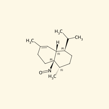 CC1=C[C@@H]2[C@@H](C(C)C)CC[C@H](C)[C@]2(N=O)CC1